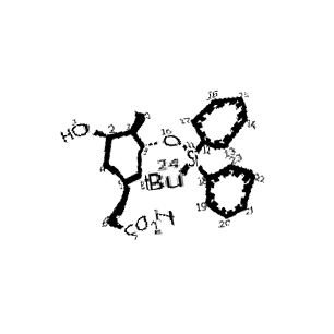 C=C1[C@H](O)C/C(=C/C(=O)O)C[C@H]1O[Si](c1ccccc1)(c1ccccc1)C(C)(C)C